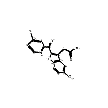 O=C(O)Cc1c(C(=O)c2cc(Cl)ccn2)[nH]c2ccc(Cl)cc12